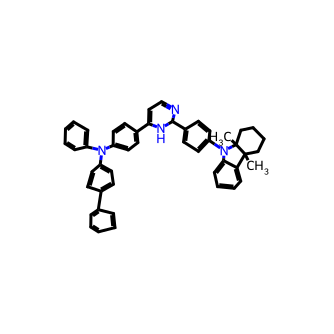 CC12CCCCC1(C)N(c1ccc(C3N=CC=C(c4ccc(N(c5ccccc5)c5ccc(-c6ccccc6)cc5)cc4)N3)cc1)c1ccccc12